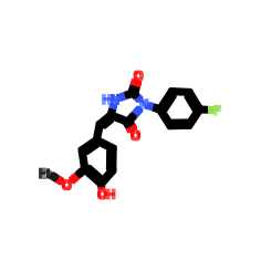 CCOc1cc(C=C2NC(=O)N(c3ccc(F)cc3)C2=O)ccc1O